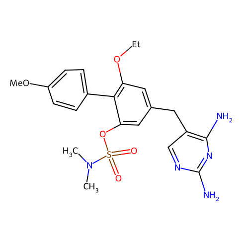 CCOc1cc(Cc2cnc(N)nc2N)cc(OS(=O)(=O)N(C)C)c1-c1ccc(OC)cc1